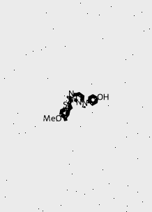 COc1cc2sc(-c3cnc4ccc(N(C)C5CCC(O)CC5)nn34)cc2cc1C